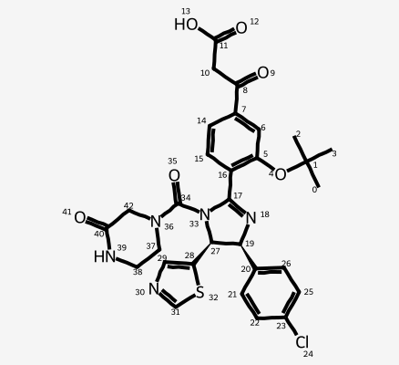 CC(C)(C)Oc1cc(C(=O)CC(=O)O)ccc1C1=N[C@@H](c2ccc(Cl)cc2)[C@@H](c2cncs2)N1C(=O)N1CCNC(=O)C1